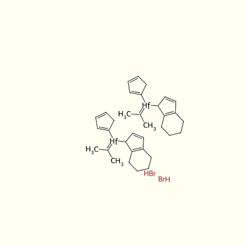 Br.Br.C[C](C)=[Hf]([C]1=CC=CC1)[CH]1C=CC2=C1CCCC2.C[C](C)=[Hf]([C]1=CC=CC1)[CH]1C=CC2=C1CCCC2